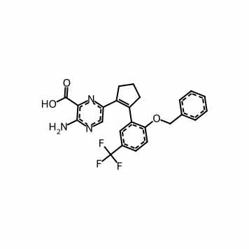 Nc1ncc(C2=C(c3cc(C(F)(F)F)ccc3OCc3ccccc3)CCC2)nc1C(=O)O